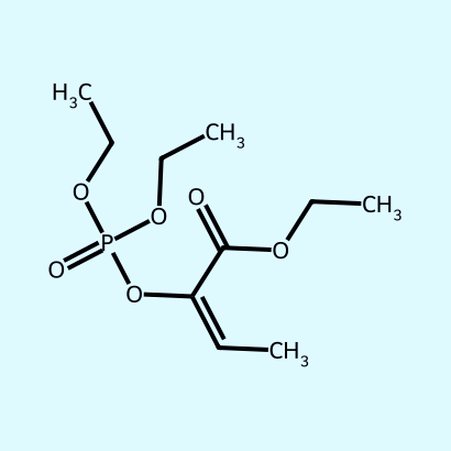 C/C=C(/OP(=O)(OCC)OCC)C(=O)OCC